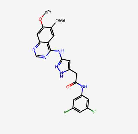 C[CH]COc1cc2ncnc(Nc3cc(CC(=O)Nc4cc(F)cc(F)c4)[nH]n3)c2cc1OC